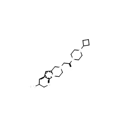 NC1C=c2cc3n(c2=NC1)CCN(CC(=O)N1CCN(C2CCC2)CC1)C3